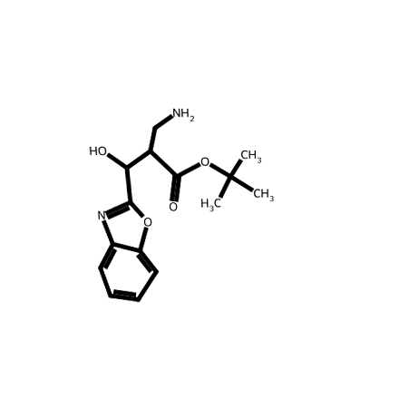 CC(C)(C)OC(=O)C(CN)C(O)c1nc2ccccc2o1